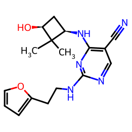 CC1(C)[C@@H](O)C[C@H]1Nc1nc(NCCc2ccco2)ncc1C#N